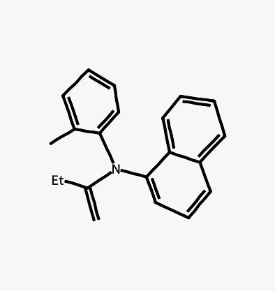 C=C(CC)N(c1ccccc1C)c1cccc2ccccc12